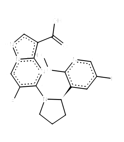 COc1ncc(F)cc1[C@H]1CCCN1c1nc2c(C(=O)O)cnn2cc1F